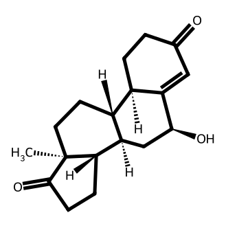 C[C@]12CC[C@H]3[C@@H](C[C@H](O)C4=CC(=O)CC[C@@H]43)[C@@H]1CCC2=O